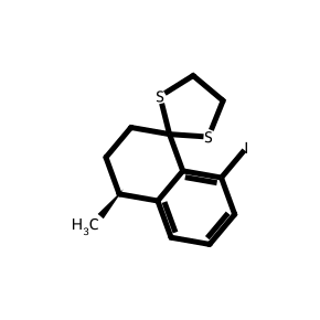 C[C@H]1CCC2(SCCS2)c2c(I)cccc21